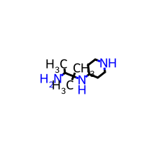 CC(N)C(C)(C)NC1CCNCC1